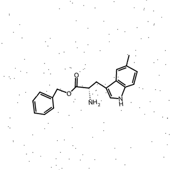 Cc1ccc2[nH]cc(C[C@H](N)C(=O)OCc3ccccc3)c2c1